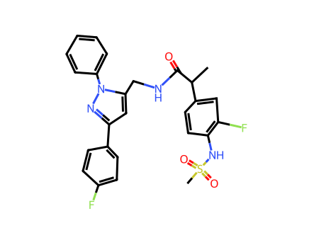 CC(C(=O)NCc1cc(-c2ccc(F)cc2)nn1-c1ccccc1)c1ccc(NS(C)(=O)=O)c(F)c1